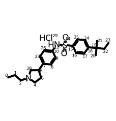 CCCN1CCC(c2ccc(NS(=O)(=O)c3ccc(C(C)(C)CC)cc3)cc2)C1.Cl